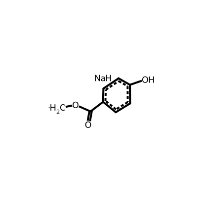 [CH2]OC(=O)c1ccc(O)cc1.[NaH]